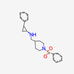 O=S(=O)(c1ccccc1)N1CCC(CN[C@H]2CC2c2ccccc2)CC1